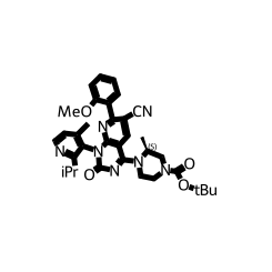 COc1ccccc1-c1nc2c(cc1C#N)c(N1CCN(C(=O)OC(C)(C)C)C[C@@H]1C)nc(=O)n2-c1c(C)ccnc1C(C)C